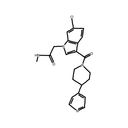 CNC(=O)Cn1cc(C(=O)N2CCC(c3ccncc3)CC2)c2ccc(Cl)cc21